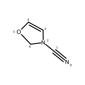 N#CN1C=COC1